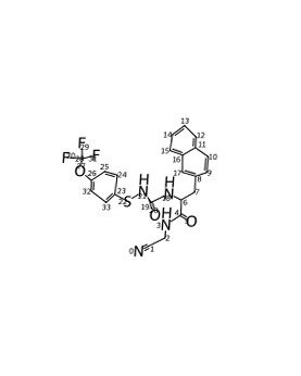 N#CCNC(=O)C(Cc1ccc2ccccc2c1)NC(=O)NSc1ccc(OC(F)(F)F)cc1